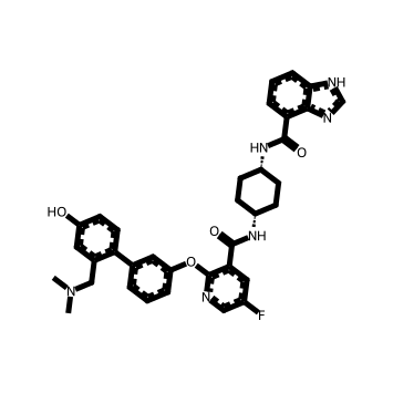 CN(C)Cc1cc(O)ccc1-c1cccc(Oc2ncc(F)cc2C(=O)N[C@H]2CC[C@@H](NC(=O)c3cccc4[nH]cnc34)CC2)c1